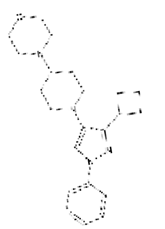 c1ccc(-n2cc(N3CCC(N4CCOCC4)CC3)c(C3CCC3)n2)cc1